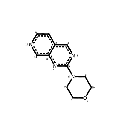 c1cc2cnc(N3CCOCC3)nc2cn1